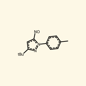 Cc1ccc(-n2nc(C(C)(C)C)cc2N=O)cc1